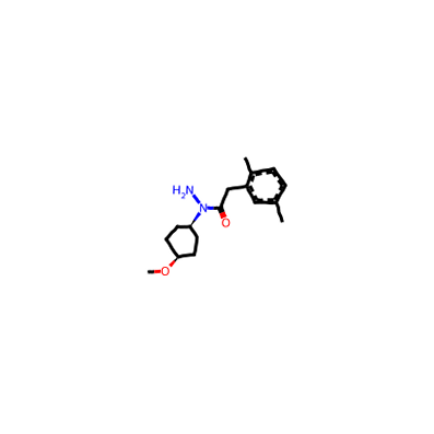 CO[C@H]1CC[C@@H](N(N)C(=O)Cc2cc(C)ccc2C)CC1